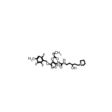 COC(=O)Oc1c(OCc2c(F)cc(C)c(F)c2F)nsc1NC(=O)NCCC(O)CCN1CCCC1